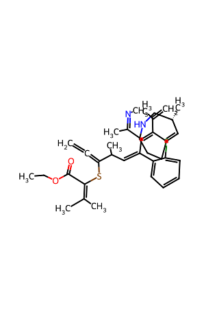 C=C=C(SC(C(=O)OCC)=C(C)C)C(C)\C=C(C(/C(C)=N\C)=C(C(=C)C)\C1=C/[C@@H](C)CNCCC1)\c1ccccc1F